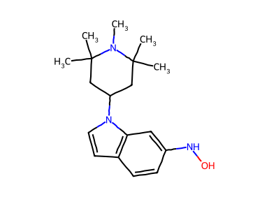 CN1C(C)(C)CC(n2ccc3ccc(NO)cc32)CC1(C)C